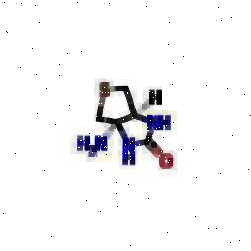 N[C@]12CSC[C@H]1NC(=O)N2